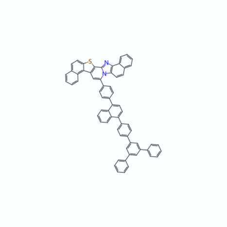 c1ccc(-c2cc(-c3ccccc3)cc(-c3ccc(-c4ccc(-c5ccc(-c6cc7c(sc8ccc9ccccc9c87)c7nc8c9ccccc9ccc8n67)cc5)c5ccccc45)cc3)c2)cc1